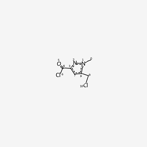 Cn1nc(C(=O)Cl)cc1CCl